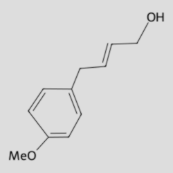 COc1ccc(CC=CCO)cc1